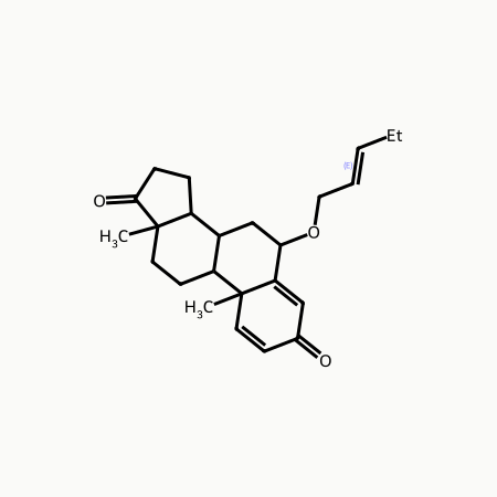 CC/C=C/COC1CC2C(CCC3(C)C(=O)CCC23)C2(C)C=CC(=O)C=C12